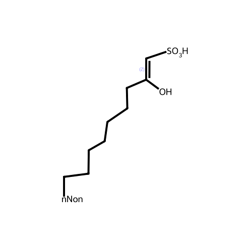 CCCCCCCCCCCCCCCC/C(O)=C/S(=O)(=O)O